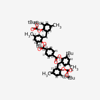 Cc1cc(Cc2cc(C)cc(C(C)(C)C)c2OC(=O)c2ccc(C(=O)Oc3c(Cc4cc(C)cc(C(C)(C)C)c4OC(=O)OC(C)(C)C)cc(C)cc3C(C)(C)C)cc2)c(OC(=O)OC(C)(C)C)c(C(C)(C)C)c1